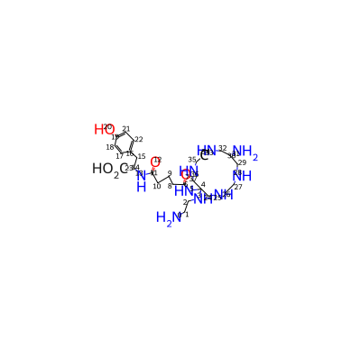 NCCN[C@]1(NC(=O)CCCC(=O)N[C@@H](Cc2ccc(O)cc2)C(=O)O)CNCCNC[C@@H](N)CNCCNC1